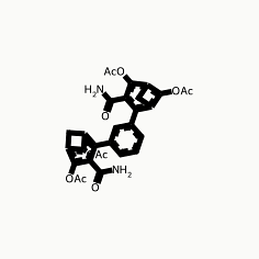 CC(=O)Oc1c2c(OC(C)=O)c(C(N)=O)c(-c3cccc(-c4c5c(OC(C)=O)c(c(OC(C)=O)c4C(N)=O)C5)c3)c1C2